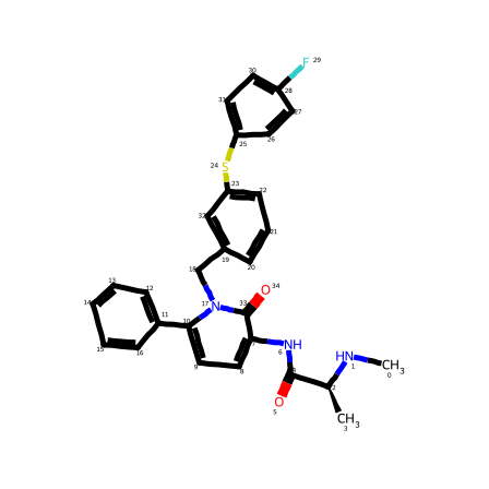 CN[C@@H](C)C(=O)Nc1ccc(-c2ccccc2)n(Cc2cccc(Sc3ccc(F)cc3)c2)c1=O